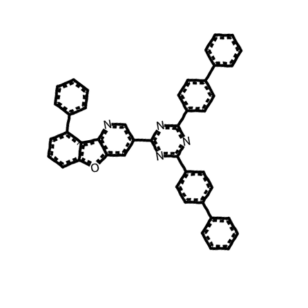 c1ccc(-c2ccc(-c3nc(-c4ccc(-c5ccccc5)cc4)nc(-c4cnc5c(c4)oc4cccc(-c6ccccc6)c45)n3)cc2)cc1